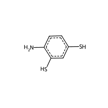 Nc1ccc(S)cc1S